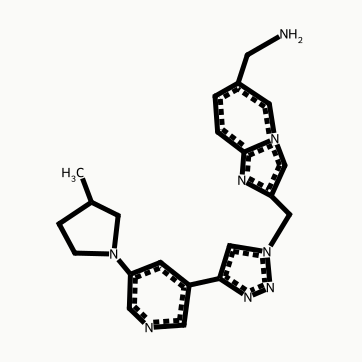 CC1CCN(c2cncc(-c3cn(Cc4cn5cc(CN)ccc5n4)nn3)c2)C1